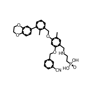 Cc1cc(CNCCP(=O)(O)O)c(OCc2cccc(C#N)c2)cc1OCc1cccc(-c2ccc3c(c2)OCCO3)c1C